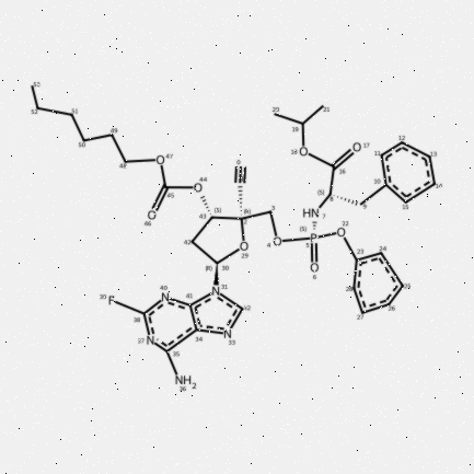 C#C[C@]1(CO[P@@](=O)(N[C@@H](Cc2ccccc2)C(=O)OC(C)C)Oc2ccccc2)O[C@@H](n2cnc3c(N)nc(F)nc32)C[C@@H]1OC(=O)OCCCCCC